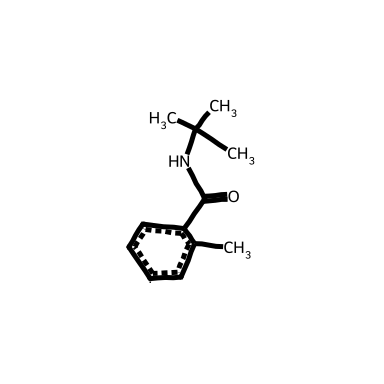 Cc1c[c]ccc1C(=O)NC(C)(C)C